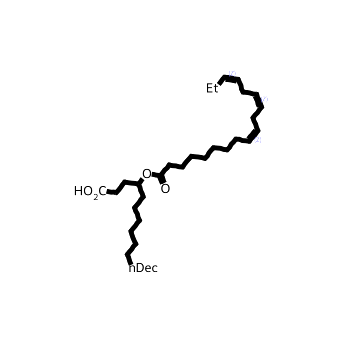 CC/C=C\C/C=C\C/C=C\CCCCCCCC(=O)OC(CCCCCCCCCCCCCCCC)CCC(=O)O